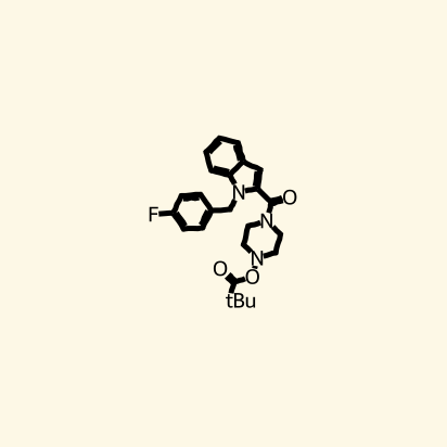 CC(C)(C)C(=O)ON1CCN(C(=O)c2cc3ccccc3n2Cc2ccc(F)cc2)CC1